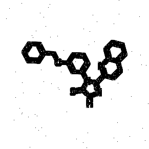 S=c1[nH]nc(-c2ccc3ccccc3n2)n1-c1cccc(OCc2ccccc2)c1